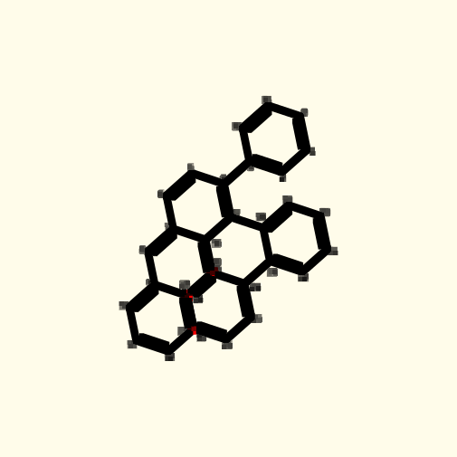 c1ccc(-c2ccc3cc4ccccc4cc3c2-c2ccccc2-c2cccnc2)cc1